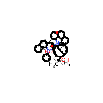 CC(C)(C)C1(O)c2cc3ccc2C(O)(C(C)(C)C)c2c1cc1c(c2N(c2ccccc2)c2c-1ccc1ccccc21)N(c1ccccc1)c1c-3ccc2ccccc12